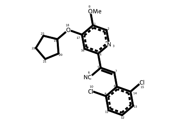 COc1cnc(/C(C#N)=C/c2c(Cl)cccc2Cl)cc1OC1CCCC1